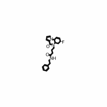 O=C(CCCN1C(=O)c2cccn2C2C=C[C@H](F)CC21)NCCc1ccccc1